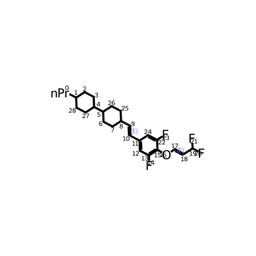 CCCC1CCC(C2CCC(/C=C/c3cc(F)c(O/C=C/C(F)F)c(F)c3)CC2)CC1